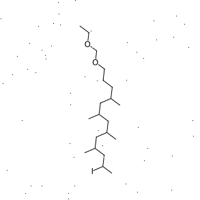 CCOCOCCCC(C)CC(C)CC(C)CC(C)CC(C)I